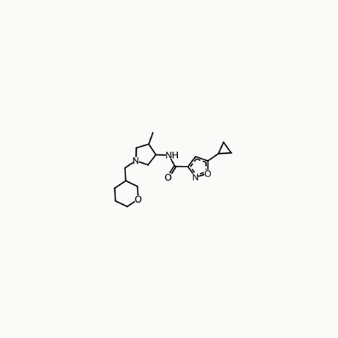 CC1CN(CC2CCCOC2)CC1NC(=O)c1cc(C2CC2)on1